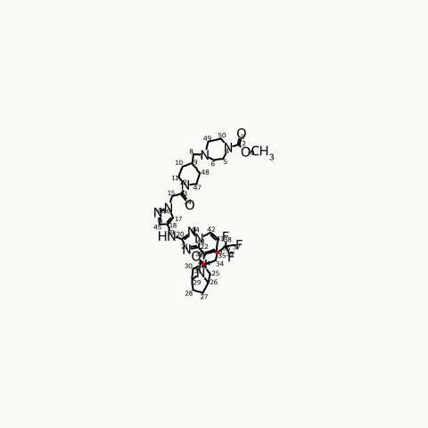 COC(=O)N1CCN(CC2CCN(C(=O)Cn3cc(Nc4nc5c(N6CC7CCC(C6)N7C(=O)CCC(F)(F)F)cccn5n4)cn3)CC2)CC1